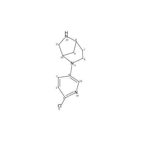 Clc1ccc(N2CCC3CC2CN3)cn1